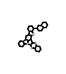 c1ccc2cc(-c3cccc4c3oc3c4cc4c5ccccc5n5c6nc7ccccc7nc6c3c45)ccc2c1